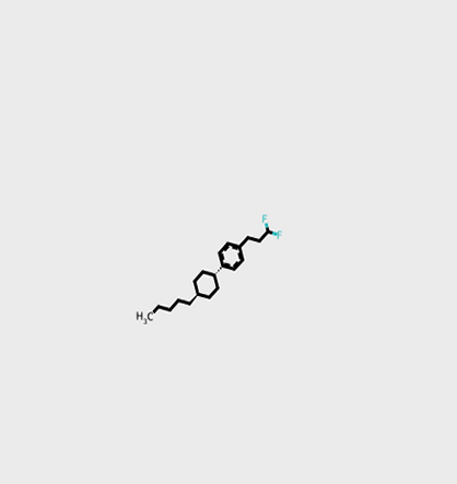 CCCCC[C@H]1CC[C@H](c2ccc(CCC(F)F)cc2)CC1